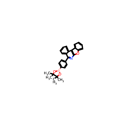 CC1(C)OB(c2ccc(-c3nc4oc5ccccc5c4c4ccccc34)cc2)OC1(C)C